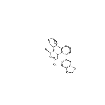 COC(=O)C1=C2C=CC=C3OCOC32c2cccc(-c3ccc4c(c3)OCO4)c2C1CCC#N